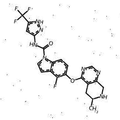 CC1Cc2c(ncnc2Oc2ccc3c(ccn3C(=O)Nc3cc(C(F)(F)F)[nH]n3)c2F)CN1